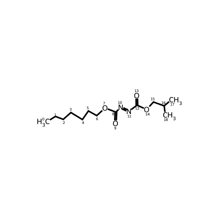 CCCCCCCOC(=O)N=NC(=O)OCC(C)C